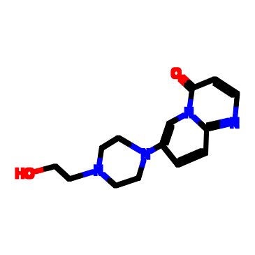 O=c1ccnc2ccc(N3CCN(CCO)CC3)cn12